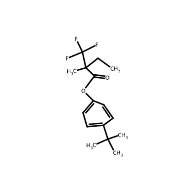 CCC(C)(C(=O)Oc1ccc(C(C)(C)C)cc1)C(F)(F)F